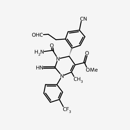 COC(=O)C1=C(C)N(c2cccc(C(F)(F)F)c2)C(=N)N(C(N)=O)[C@@H]1c1ccc(C#N)cc1CCC=O